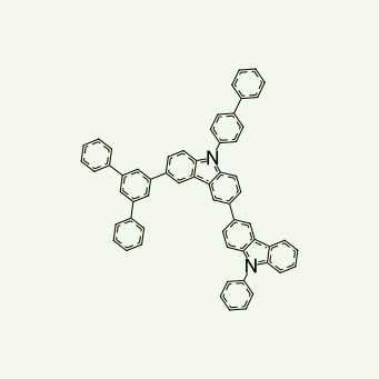 c1ccc(-c2ccc(-n3c4ccc(-c5cc(-c6ccccc6)cc(-c6ccccc6)c5)cc4c4cc(-c5ccc6c(c5)c5ccccc5n6-c5ccccc5)ccc43)cc2)cc1